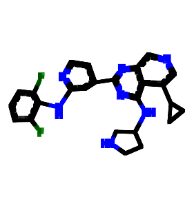 Fc1cccc(F)c1Nc1cc(-c2nc(NC3CCNC3)c3c(C4CC4)cncc3n2)ccn1